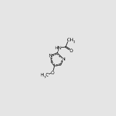 COc1cnc(NC(C)=O)nc1